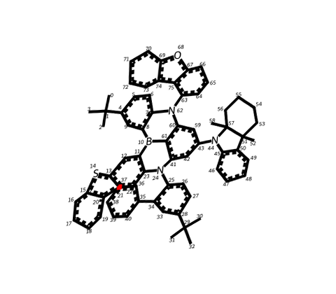 CC(C)(C)c1ccc2c(c1)B1c3cc4sc5ccccc5c4cc3N(c3ccc(C(C)(C)C)cc3-c3ccccc3)c3cc(N4c5ccccc5C5(C)CCCCC45C)cc(c31)N2c1cccc2oc3ccccc3c12